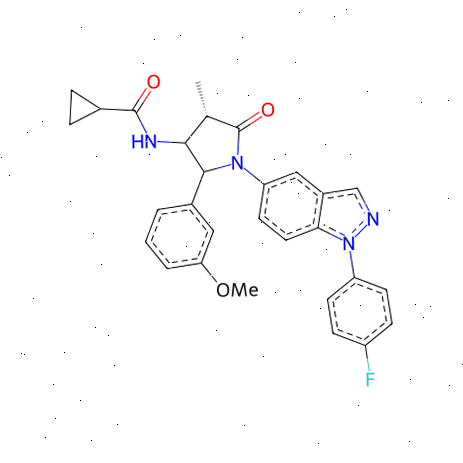 COc1cccc(C2C(NC(=O)C3CC3)[C@H](C)C(=O)N2c2ccc3c(cnn3-c3ccc(F)cc3)c2)c1